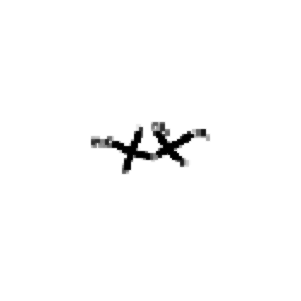 CCC(C)(C)OC(F)(F)OC